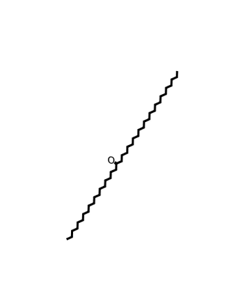 CCCCCCCCCCCCCCCCCCCCCCC(=O)CCCCCCCCCCCCCCCCCC